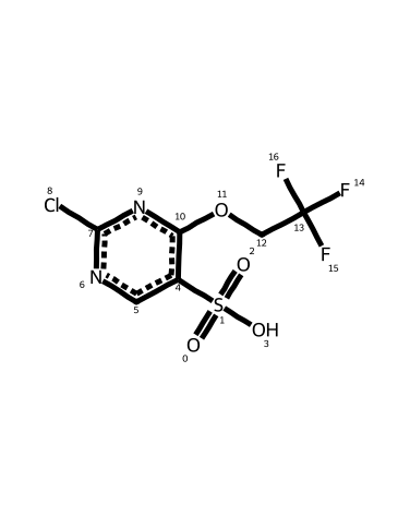 O=S(=O)(O)c1cnc(Cl)nc1OCC(F)(F)F